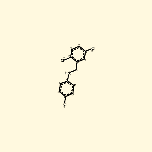 Clc1ccc(NCc2cc(Cl)ccc2Cl)cc1